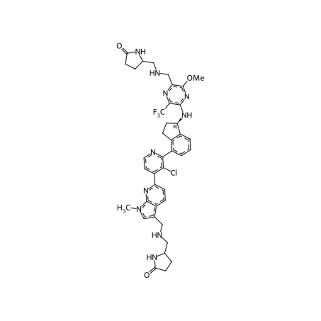 COc1nc(N[C@@H]2CCc3c(-c4nccc(-c5ccc6c(CNCC7CCC(=O)N7)cn(C)c6n5)c4Cl)cccc32)c(C(F)(F)F)nc1CNCC1CCC(=O)N1